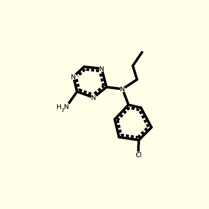 CCCN(c1ccc(Cl)cc1)c1ncnc(N)n1